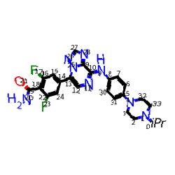 CC(C)N1CCN(c2ccc(Nc3ncc(-c4cc(F)c(C(N)=O)c(F)c4)n4ncnc34)cc2)CC1